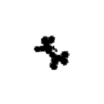 CC1CC(c2ccc(N(c3ccc(-c4ccccc4)cc3)c3ccc4c(c3)c3ccccc3n4-c3ccccc3)cc2)=CC=C1N(c1ccc(-c2ccccc2)cc1)c1ccc2c(c1)c1ccccc1n2-c1ccccc1